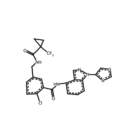 O=C(Nc1cccc2c1cnn2-c1cscn1)c1cc(CNC(=O)C2(C(F)(F)F)CC2)ccc1Cl